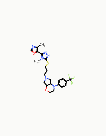 Cc1ncoc1-c1nnc(SCCCN2CC3OCCN(c4ccc(C(F)(F)F)cc4)C3C2)n1C